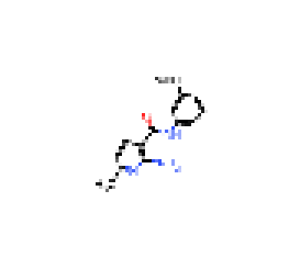 COc1cccc(NC(=O)c2ccc(C)nc2N)c1